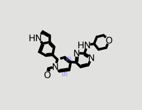 C/C=C(\C=C/N(C=O)Cc1ccc2[nH]ccc2c1)c1ccnc(NC2CCOCC2)n1